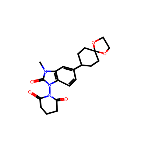 Cn1c(=O)n(N2C(=O)CCCC2=O)c2ccc(C3CCC4(CC3)OCCO4)cc21